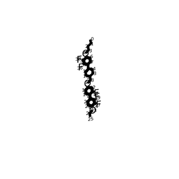 CCCCOc1ccc(C2=CCC(COc3ccc(-c4ccc(OCC)c(F)c4F)c(F)c3)CC2)c(F)c1F